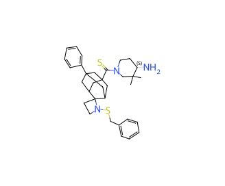 CC1(C)CN(C(=S)C23CC4CC(c5ccccc5)(CC(C2)C42CCN2SCc2ccccc2)C3)CC[C@@H]1N